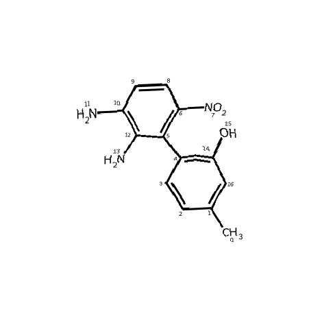 Cc1ccc(-c2c([N+](=O)[O-])ccc(N)c2N)c(O)c1